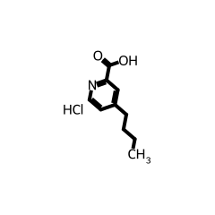 CCCCc1ccnc(C(=O)O)c1.Cl